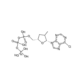 CC1C[C@@H](COP(=O)(O)OP(=O)(O)O[PH](O)(O)O)O[C@H]1n1cnc2c(Cl)ncnc21